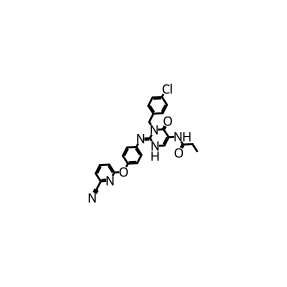 CCC(=O)Nc1c[nH]/c(=N\c2ccc(Oc3cccc(C#N)n3)cc2)n(Cc2ccc(Cl)cc2)c1=O